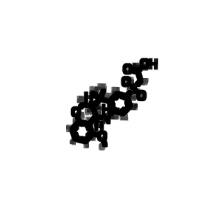 COc1cccc2c1[C@H]1Nc3ccc(S(=O)(=O)CC(=O)O)cc3C(C)(C)[C@H]1CO2